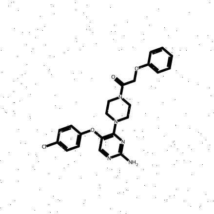 Nc1ncc(Oc2ccc(Cl)cc2)c(N2CCN(C(=O)COc3ccccc3)CC2)n1